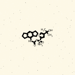 CC(C)(O)c1csc(S(N)(=O)=NC(=O)Nc2c3c(cc4c2CCC4)CCC3)c1